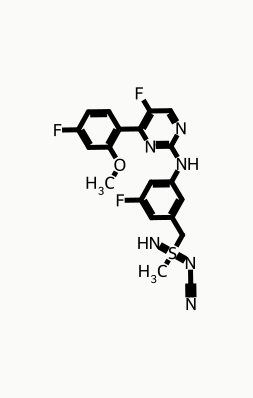 COc1cc(F)ccc1-c1nc(Nc2cc(F)cc(CS(C)(=N)=NC#N)c2)ncc1F